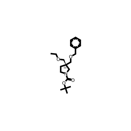 CCOC[C@]1(COCc2ccccc2)CCN(C(=O)OC(C)(C)C)C1